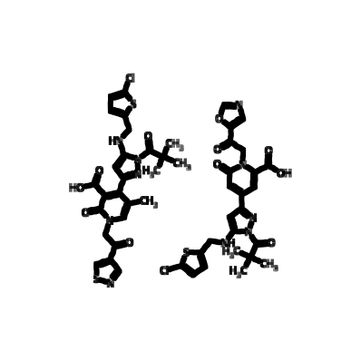 CC(C)(C)C(=O)n1nc(-c2cc(C(=O)O)n(CC(=O)c3cnco3)c(=O)c2)cc1NCc1ccc(Cl)s1.Cc1cn(CC(=O)c2cnsc2)c(=O)c(C(=O)O)c1-c1cc(NCc2ccc(Cl)s2)n(C(=O)C(C)(C)C)n1